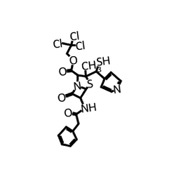 CC1(C(S)c2ccncc2)SC2C(NC(=O)Cc3ccccc3)C(=O)N2C1C(=O)OCC(Cl)(Cl)Cl